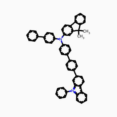 CC1(C)c2ccccc2-c2ccc(N(c3ccc(-c4ccccc4)cc3)c3ccc(-c4ccc(-c5ccc6c7ccccc7n(-c7ccccc7)c6c5)cc4)cc3)cc21